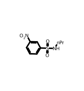 [CH2]CCNS(=O)(=O)c1cccc([N+](=O)[O-])c1